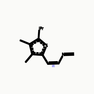 C=N/C=C\c1sc(C(C)C)c(C)c1C